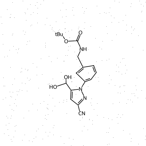 CC(C)(C)OC(=O)NCc1cccc(-n2nc(C#N)cc2C(O)O)c1